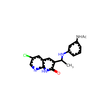 CC(=O)Nc1cccc(NC(C)c2cc3cc(Cl)cnc3[nH]c2=O)c1